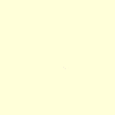 c1ccc2cc(CCNCC3CC3)ccc2c1